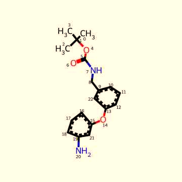 CC(C)(C)OC(=O)NCc1cccc(Oc2cccc(N)c2)c1